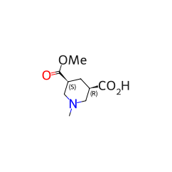 COC(=O)[C@H]1C[C@@H](C(=O)O)CN(C)C1